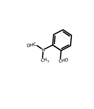 CN(C=O)c1ccccc1C=O